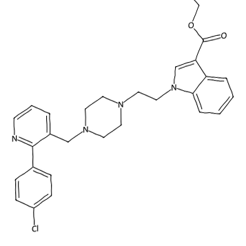 CCOC(=O)c1cn(CCN2CCN(Cc3cccnc3-c3ccc(Cl)cc3)CC2)c2ccccc12